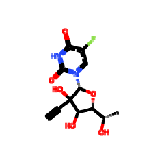 C#C[C@@]1(O)C(O)[C@@H]([C@H](C)O)O[C@H]1n1cc(F)c(=O)[nH]c1=O